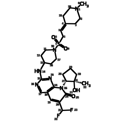 CN1CCC(=CCS(=O)(=O)N2CCC(Nc3ncc4cc(C(F)F)c(=O)n([C@@H]5CCC[C@@]5(C)O)c4n3)CC2)CC1